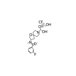 CN(C1COC2(CCN(C(O)O[C@H](CO)C(F)(F)F)CC2)C1)[S+]([O-])c1cccc(F)c1